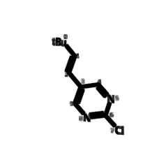 CC(C)(C)/C=C/c1cnc(Cl)nc1